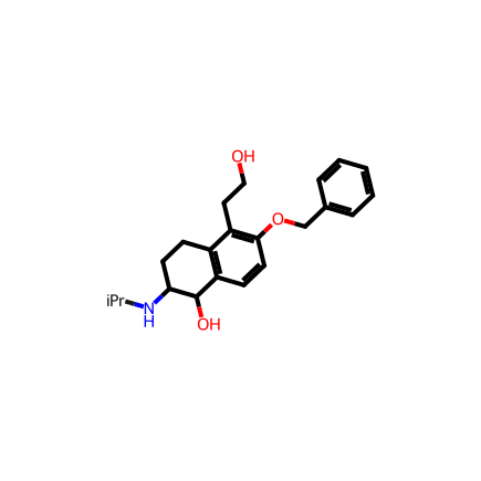 CC(C)NC1CCc2c(ccc(OCc3ccccc3)c2CCO)C1O